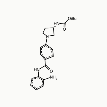 CC(C)COC(=O)N[C@H]1CCN(c2ccc(C(=O)Nc3ccccc3N)cc2)C1